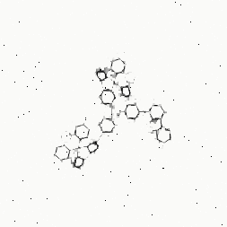 c1ccc2c(c1)Oc1ccccc1C21c2ccccc2-c2ccc(-c3ccc(N(c4ccc(-c5cccc6c5sc5ccccc56)cc4)c4ccc5c(c4)C4(c6ccccc6Oc6ccccc64)c4ccccc4-5)cc3)cc21